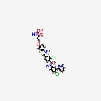 O=C(CCOc1ccc(NCc2ccc(C(=O)Nc3ccc(Cl)c(-c4ccccn4)c3)c(Cl)c2)cc1)NO